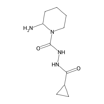 NC1CCCCN1C(=O)NNC(=O)C1CC1